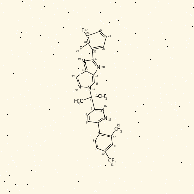 CC(C)(c1ccc(-c2ccc(C(F)(F)F)cc2C(F)(F)F)nn1)n1cc2nc(-c3cccc(F)c3F)nc-2cn1